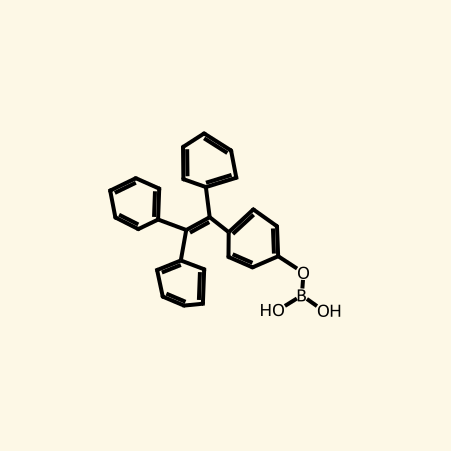 OB(O)Oc1ccc(C(=C(c2ccccc2)c2ccccc2)c2ccccc2)cc1